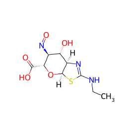 CCNC1=N[C@@H]2[C@@H](O)[C@H](N=O)[C@@H](C(=O)O)O[C@@H]2S1